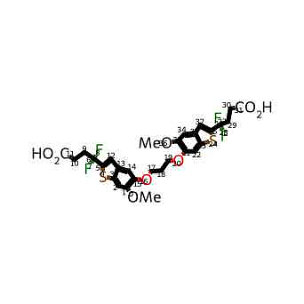 COc1cc2sc(C(F)(F)CCC(=O)O)cc2cc1OCCCOc1cc2sc(C(F)(F)CCC(=O)O)cc2cc1OC